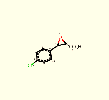 O=C(O)[C@H]1OC1c1ccc(Cl)cc1